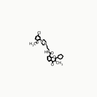 COc1ccc(Cl)cc1N1CCN(CCCNC(=O)c2cccc3c(=O)c(C)c(C4CCCCC4)oc23)CC1